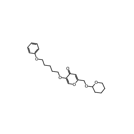 O=c1cc(COC2CCCCO2)occ1OCCCCCOc1ccccc1